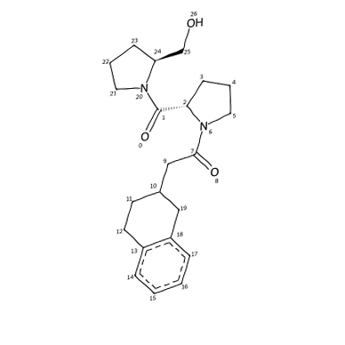 O=C([C@@H]1CCCN1C(=O)CC1CCc2ccccc2C1)N1CCC[C@H]1CO